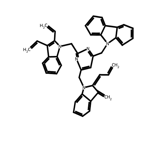 C=C/C=c1\c(=C)c2ccccc2n1Cc1cc(Cn2c3ccccc3c3ccccc32)nc(Cn2c(C=C)c(C=C)c3c2=CC=C=C=3)n1